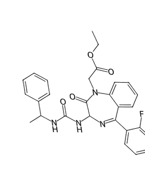 CCOC(=O)CN1C(=O)C(NC(=O)NC(C)c2ccccc2)N=C(c2ccccc2F)c2ccccc21